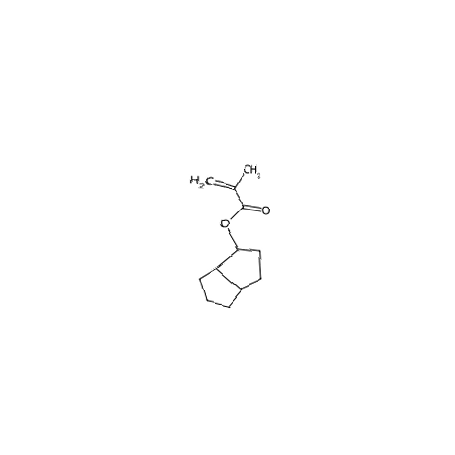 C=C(C)C(=O)OC1CCC2CCCC21